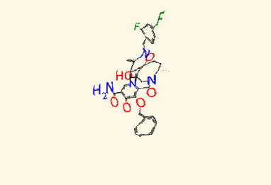 CC1[C@@H](O)[C@]2(CC[C@H](C)N3C[C@H]2n2cc(C(N)=O)c(=O)c(OCc4ccccc4)c2C3=O)ON1Cc1ccc(F)cc1F